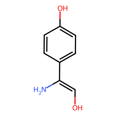 N/C(=C\O)c1ccc(O)cc1